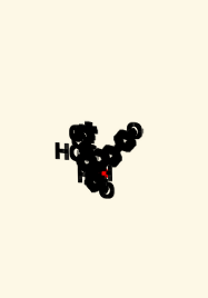 COc1ccc(-c2ccc3c(c2)C[C@]24CCC5(CC(C)(C)COO5)C[C@]2(O)CC[C@@H]2[C@@H]4[C@@H]3C[C@]3(C)C(=O)CC[C@@H]23)cc1